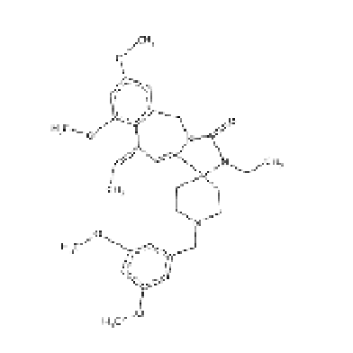 C/C=C1\C=C2N(Cc3cc(OC)cc(OC)c31)C(=O)N(CC)C21CCN(Cc2cc(OC)cc(OC)c2)CC1